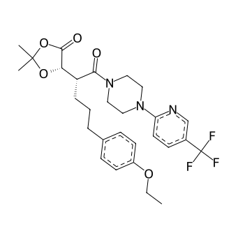 CCOc1ccc(CCC[C@@H](C(=O)N2CCN(c3ccc(C(F)(F)F)cn3)CC2)[C@@H]2OC(C)(C)OC2=O)cc1